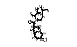 Cc1nnc2n1CCN(C(=O)c1cc3ccc(Cl)cn3n1)C2C